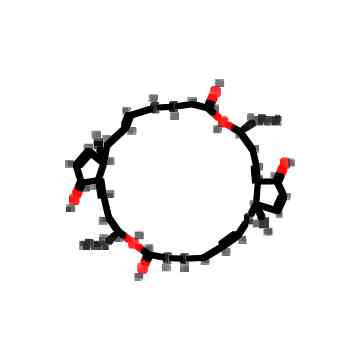 CCCCC[C@H]1C/C=C2/C(=O)C=C[C@@H]2C/C=C\CCCC(=O)O[C@@H](CCCCC)C/C=C2/C(=O)C=C[C@@H]2C/C=C\CCCC(=O)O1